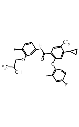 Cc1cc(F)ccc1Oc1cc(C2CC2)c(C(F)(F)F)cc1C(=O)Nc1ccc(F)c(OCC(O)C(F)(F)F)c1